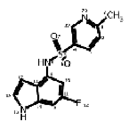 Cc1ccc(S(=O)(=O)Nc2cc(F)cc3[nH]ccc23)cn1